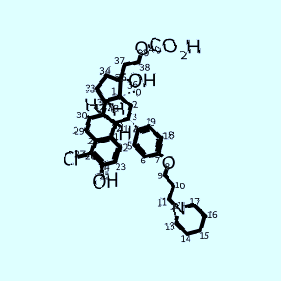 C[C@]12C[C@H](c3ccc(OCCCN4CCCCC4)cc3)[C@@H]3c4ccc(O)c(Cl)c4CC[C@H]3[C@@H]1CC[C@@]2(O)CCOC(=O)O